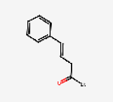 CCC(=O)CC=Cc1ccccc1